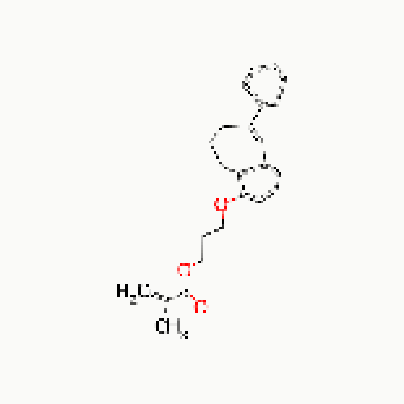 C=C(C)C(=O)OCCCOc1cccc2c1CCCC(c1ccccc1)=C2